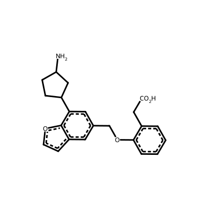 NC1CCC(c2cc(COc3ccccc3CC(=O)O)cc3ccoc23)C1